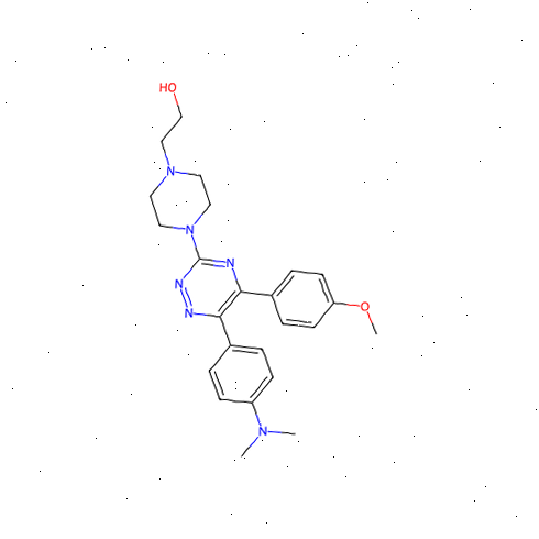 COc1ccc(-c2nc(N3CCN(CCO)CC3)nnc2-c2ccc(N(C)C)cc2)cc1